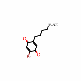 CCCCCCCCCCCCC1=CC(=O)C(Br)=CC1=O